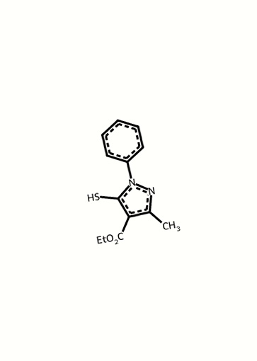 CCOC(=O)c1c(C)nn(-c2ccccc2)c1S